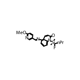 CCCC(F)[Si](C)(C)n1c(=O)ccc2c(N=Cc3ccc(OC)nc3)cccc21